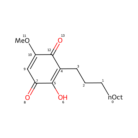 CCCCCCCCCCCC1=C(O)C(=O)C=C(OC)C1=O